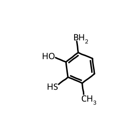 Bc1ccc(C)c(S)c1O